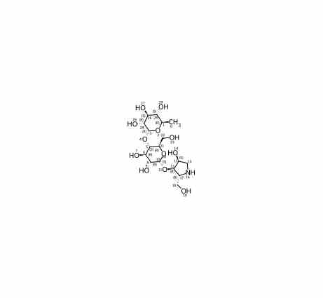 C[C@H]1O[C@H](O[C@H]2[C@H](O)[C@@H](O)[C@@H](O[C@H]3[C@@H](O)CN[C@@H]3CO)O[C@@H]2CO)[C@H](O)[C@@H](O)[C@@H]1O